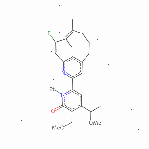 CCn1c(-c2cc3cc(n2)/C=C(F)\C(C)=C(/C)CCC3)cc(C(C)OC)c(COC)c1=O